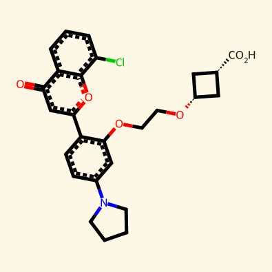 O=c1cc(-c2ccc(N3CCCC3)cc2OCCO[C@H]2C[C@@H](C(=O)O)C2)oc2c(Cl)cccc12